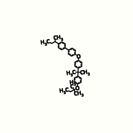 CCC(C)c1ccc(-c2ccc(Oc3ccc(C(C)(C)c4ccc(OC(C)(C)CC)cc4)cc3)cc2)cc1